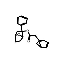 O=C(CC1CC2C=CC1C2)OC1(c2ccccc2)CC2CCC1O2